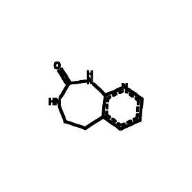 O=C1NCCc2cccnc2N1